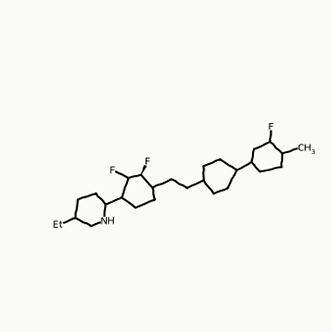 CCC1CCC(C2CCC(CCC3CCC(C4CCC(C)C(F)C4)CC3)[C@H](F)C2F)NC1